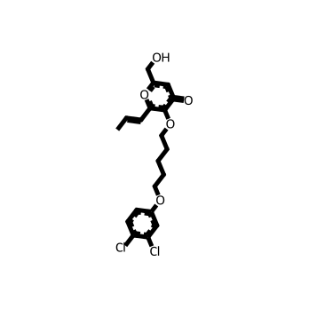 C/C=C/c1oc(CO)cc(=O)c1OCCCCCOc1ccc(Cl)c(Cl)c1